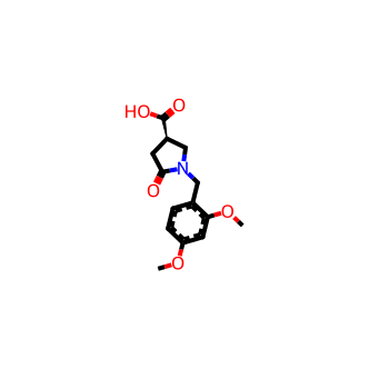 COc1ccc(CN2C[C@H](C(=O)O)CC2=O)c(OC)c1